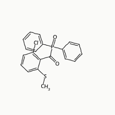 CSc1cccc(Cl)c1C(=O)P(=O)(c1ccccc1)c1ccccc1